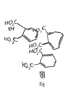 O=C(O)c1ccccc1C(=O)O.O=C(O)c1ccccc1C(=O)O.O=C(O)c1ccccc1C(=O)O.[KH].[KH].[KH].[KH]